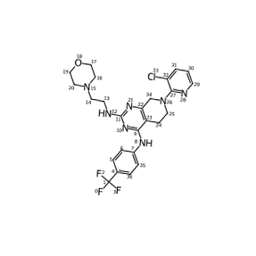 FC(F)(F)c1ccc(Nc2nc(NCCN3CCOCC3)nc3c2CCN(c2ncccc2Cl)C3)cc1